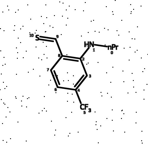 CCCNc1cc(C(F)(F)F)ccc1C=S